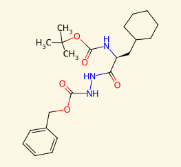 CC(C)(C)OC(=O)N[C@@H](CC1CCCCC1)C(=O)NNC(=O)OCc1ccccc1